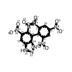 O=[N+]([O-])c1cc([N+](=O)[O-])c(-c2c([N+](=O)[O-])c([N+](=O)[O-])cc3[nH]nnc23)c([N+](=O)[O-])c1